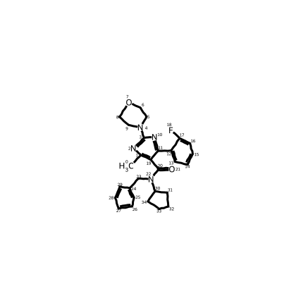 Cc1nc(N2CCOCC2)nc(-c2ccccc2F)c1C(=O)N(Cc1ccccc1)C1CCCC1